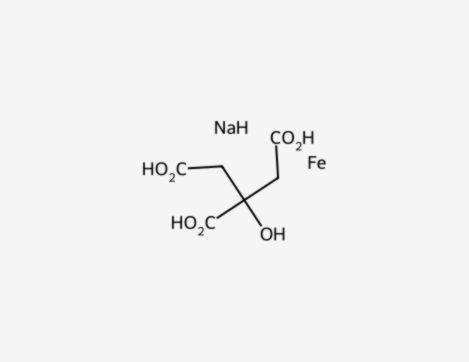 O=C(O)CC(O)(CC(=O)O)C(=O)O.[Fe].[NaH]